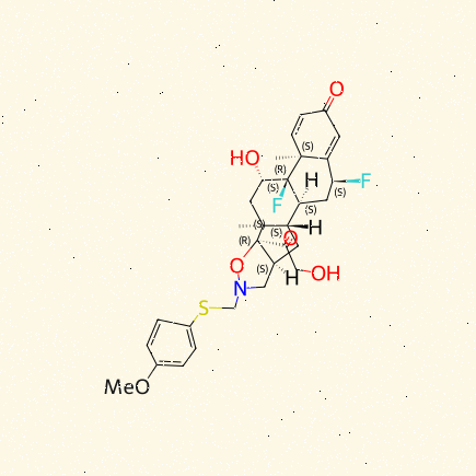 COc1ccc(SCN2C[C@@H]3C[C@H]4[C@@H]5C[C@H](F)C6=CC(=O)C=C[C@]6(C)[C@@]5(F)[C@@H](O)C[C@]4(C)[C@]3(C(=O)CO)O2)cc1